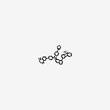 CC1(C)CCC(C)(C)c2cc(-c3ccc(N(c4ccc(C5CC6CCC5C6)cc4)c4ccc5cccc(-c6ccc7c(c6)-c6ccccc6[Si]7(C)C)c5c4)cc3)ccc21